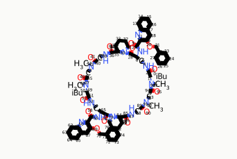 CC[C@H](C)[C@H]1C(=O)NC[C@@H](NC(=O)c2nc3ccccc3cc2OCc2ccccc2)C(=O)N2CCCC[C@H]2C(=O)NCC(=O)N(C)CC(=O)N(C)[C@@H]([C@@H](C)CC)C(=O)NC[C@@H](NC(=O)c2nc3ccccc3cc2OCc2ccccc2)C(=O)N2CCCC[C@H]2C(=O)NCC(=O)N(C)CC(=O)N1C